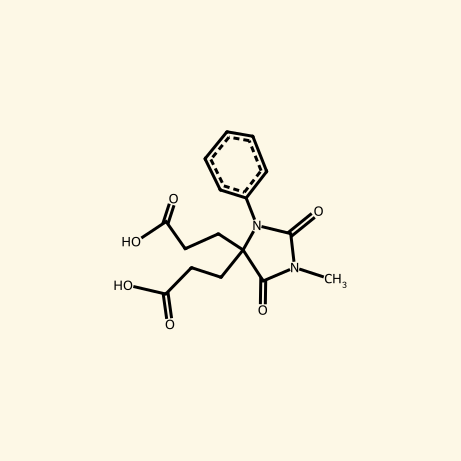 CN1C(=O)N(c2ccccc2)C(CCC(=O)O)(CCC(=O)O)C1=O